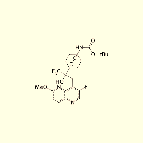 COc1ccc2ncc(F)c(CC(O)(C(F)(F)F)C34CCC(NC(=O)OC(C)(C)C)(CC3)CO4)c2n1